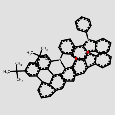 CC(C)(C)c1cc(-c2cccc3cccc(-c4ccccc4N(c4ccccc4-c4ccc5c(c4)c4ccccc4n5-c4ccccc4)c4ccccc4-c4cccc5c4sc4ccccc45)c23)cc(C(C)(C)C)c1